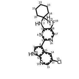 NC1(Nc2nc(-c3c[nH]c4ncc(Cl)cc34)ncc2F)CCCCC1